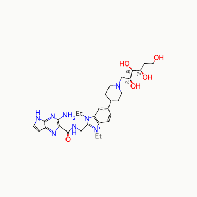 CCn1c(CNC(=O)c2nc3cc[nH]c3nc2N)[n+](CC)c2ccc(C3CCN(C[C@H](O)[C@@H](O)[C@H](O)CCO)CC3)cc21